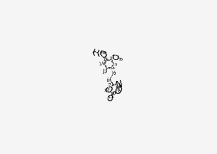 COc1cc(CCc2noc(=O)o2)ccc1O